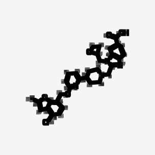 O=C(O)c1ccc2nc(CN3CCC(c4cccc(OCc5ccc(Cl)c6cc(F)oc56)n4)CC3)n(CC3CCO3)c2c1